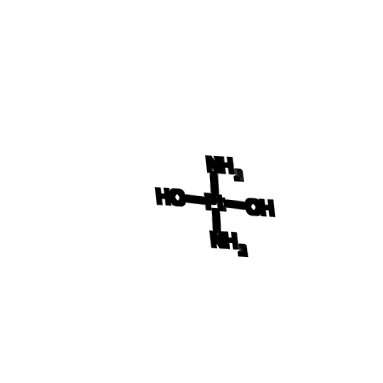 [NH2][Pt]([NH2])([OH])[OH]